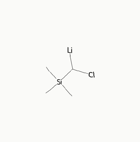 [Li][CH](Cl)[Si](C)(C)C